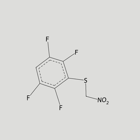 O=[N+]([O-])CSc1c(F)c(F)cc(F)c1F